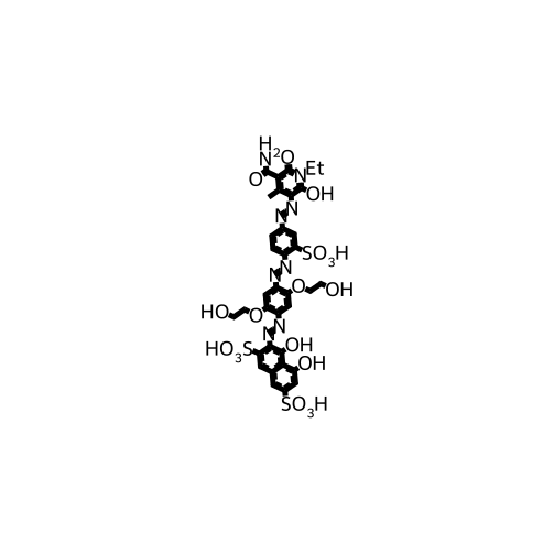 CCn1c(O)c(/N=N/c2ccc(/N=N/c3cc(OCCO)c(/N=N/c4c(S(=O)(=O)O)cc5cc(S(=O)(=O)O)cc(O)c5c4O)cc3OCCO)c(S(=O)(=O)O)c2)c(C)c(C(N)=O)c1=O